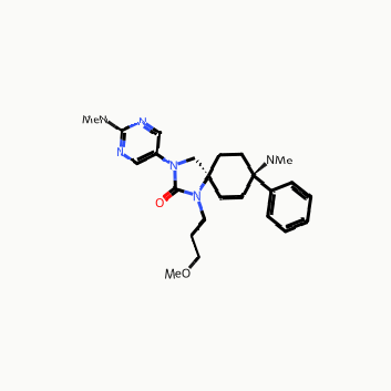 CNc1ncc(N2C[C@]3(CC[C@@](NC)(c4ccccc4)CC3)N(CCCOC)C2=O)cn1